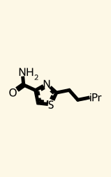 CC(C)CCc1nc(C(N)=O)cs1